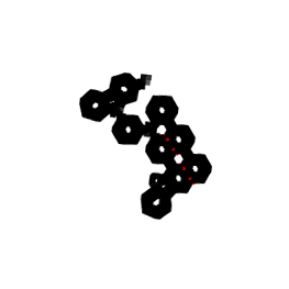 Fc1ccc2c3ccccc3n(-c3cccc(N(c4ccc(-c5cccc6c5oc5ccccc56)cc4)c4ccccc4-c4ccc(-c5ccccc5)cc4)c3)c2c1